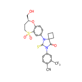 N#Cc1ccc(N2C(=O)C3(CCC3)N(c3ccc4c(c3)S(=O)(=O)CC[C@@H](CO)O4)C2=S)cc1C(F)(F)F